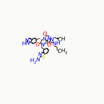 C#CCN(C(=O)NCCCC)N1CC(=O)N2[C@@H](Cc3ccc4[nH]ncc4c3)C(=O)N(Cc3cccc4sc(N)nc34)C[C@@H]21